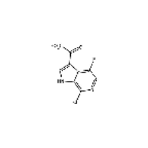 O=C(O)C(=O)c1c[nH]c2c(Cl)ncc(F)c12